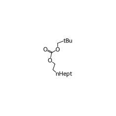 CCCCCCCCCOC(=O)OCC(C)(C)C